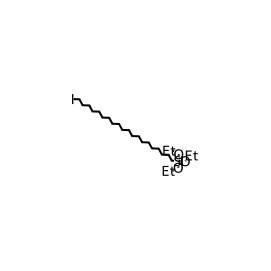 CCO[Si](CCCCCCCCCCCCCCCCCCCCI)(OCC)OCC